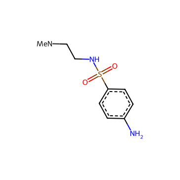 CNCCNS(=O)(=O)c1ccc(N)cc1